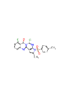 Cc1ccc(S(=O)(=O)n2c(C)cc3c2nc(Cl)n2c(=O)c4c(F)cccc4nc32)cc1